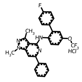 Cc1nn(C)c2cc(-c3ccccc3)nc(Nc3ccc(OC(F)(F)F)cc3-c3ccc(F)cc3)c12.Cl